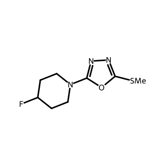 CSc1nnc(N2CCC(F)CC2)o1